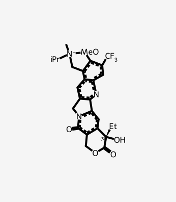 CC[C@@]1(O)C(=O)OCc2c1cc1n(c2=O)Cc2cc3c(C[N+](C)(C)C(C)C)c(OC)c(C(F)(F)F)cc3nc2-1